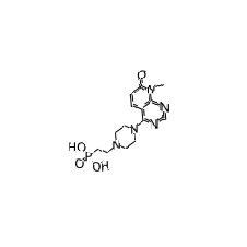 Cn1c(=O)ccc2c(N3CCN(CCP(=O)(O)O)CC3)ncnc21